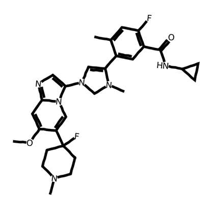 COc1cc2ncc(N3C=C(c4cc(C(=O)NC5CC5)c(F)cc4C)N(C)C3)n2cc1C1(F)CCN(C)CC1